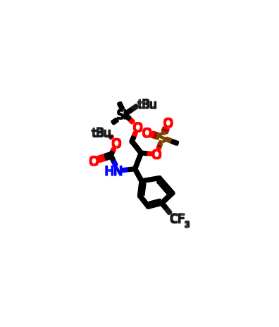 CC(C)(C)OC(=O)NC(c1ccc(C(F)(F)F)cc1)C(CO[Si](C)(C)C(C)(C)C)OS(C)(=O)=O